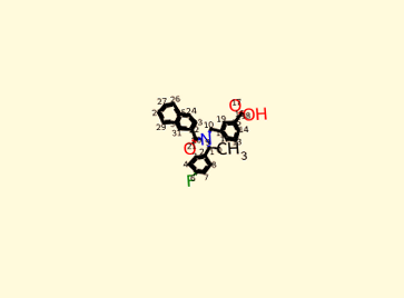 C[C@@H](c1ccc(F)cc1)N(Cc1cccc(C(=O)O)c1)C(=O)c1ccc2ccccc2c1